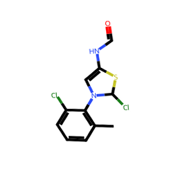 Cc1cccc(Cl)c1N1C=C(NC=O)SC1Cl